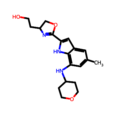 Cc1cc(NC2CCOCC2)c2[nH]c(C3=NC(CCO)CO3)cc2c1